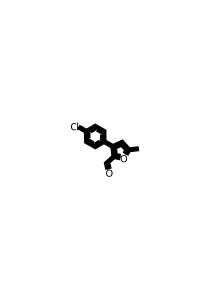 Cc1cc(-c2ccc(Cl)cc2)c(C=O)o1